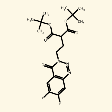 CC(C)(C)OC(=O)C(CCn1nnc2cc(F)c(F)cc2c1=O)C(=O)OC(C)(C)C